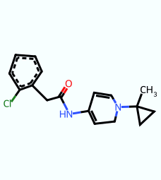 CC1(N2C=CC(NC(=O)Cc3ccccc3Cl)=CC2)CC1